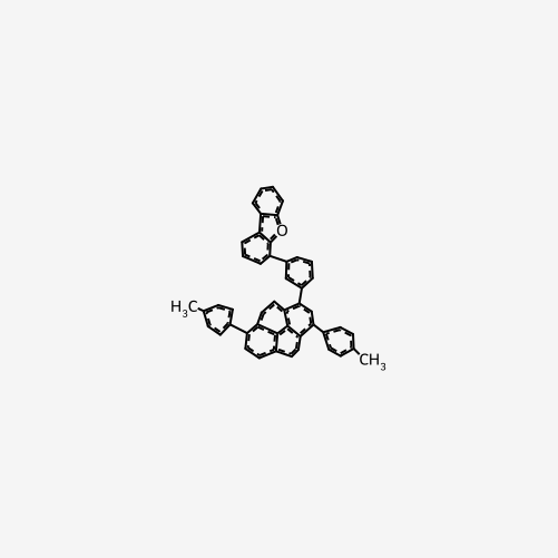 Cc1ccc(-c2ccc3ccc4c(-c5ccc(C)cc5)cc(-c5cccc(-c6cccc7c6oc6ccccc67)c5)c5ccc2c3c45)cc1